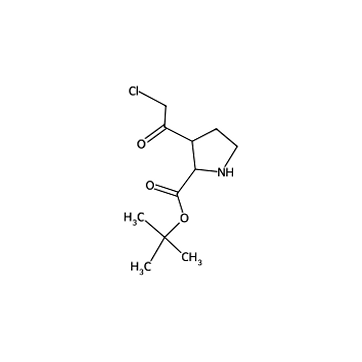 CC(C)(C)OC(=O)C1NCCC1C(=O)CCl